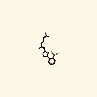 CC(C)=CCC/C(C)=C/C1OCC(c2ccccc2[N+](=O)[O-])O1